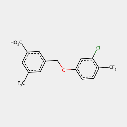 O=C(O)c1cc(COc2ccc(C(F)(F)F)c(Cl)c2)cc(C(F)(F)F)c1